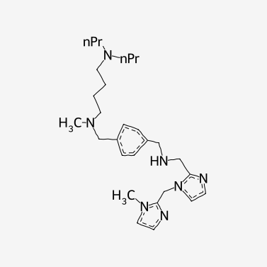 CCCN(CCC)CCCCN(C)Cc1ccc(CNCc2nccn2Cc2nccn2C)cc1